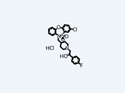 Cl.O=S1(=O)c2cc(Cl)ccc2Oc2ccccc2N1CC1CCN(C[C@H](O)c2ccc(F)cc2)CC1